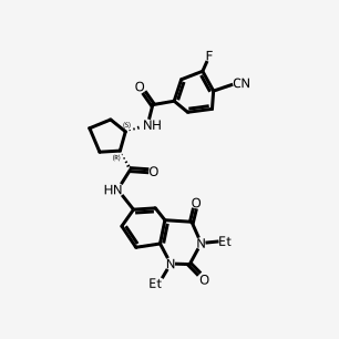 CCn1c(=O)c2cc(NC(=O)[C@@H]3CCC[C@@H]3NC(=O)c3ccc(C#N)c(F)c3)ccc2n(CC)c1=O